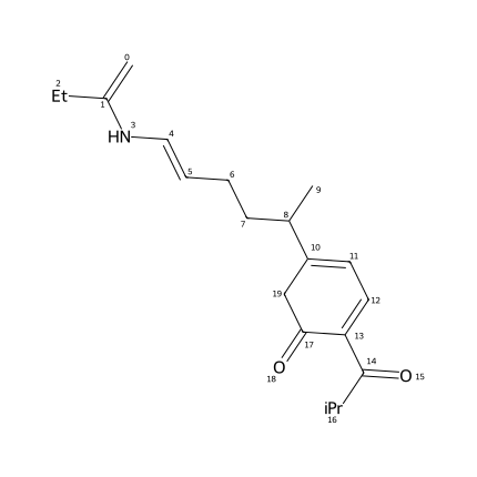 C=C(CC)N/C=C/CCC(C)C1=CC=C(C(=O)C(C)C)C(=O)C1